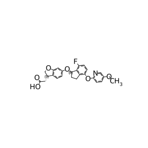 COc1ccc(Oc2ccc(F)c3c2CC[C@H]3Oc2ccc3c(c2)OC[C@H]3CC(=O)O)nc1